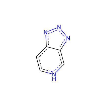 c1cc2nnnc-2c[nH]1